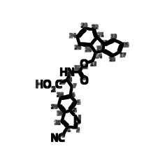 N#Cc1cnc2cc(CC(NC(=O)OCC3c4ccccc4-c4ccccc43)C(=O)O)ccc2c1